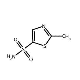 Cc1ncc(S(N)(=O)=O)s1